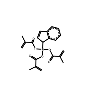 C=C(C)C(=O)[O][Ti]([O]C(=O)C(=C)C)([O]C(=O)C(=C)C)[CH]1C=Cc2ccccc21